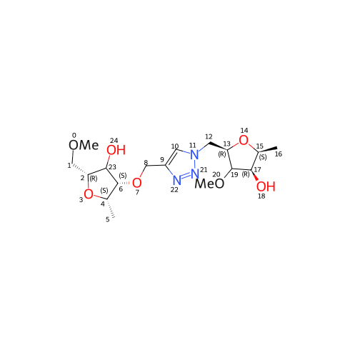 COC[C@H]1O[C@@H](C)[C@@H](OCc2cn(C[C@H]3O[C@@H](C)[C@@H](O)C3OC)nn2)C1O